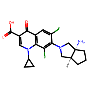 N[C@]12CCC[C@H]1CN(c1c(F)cc3c(=O)c(C(=O)O)cn(C4CC4)c3c1F)C2